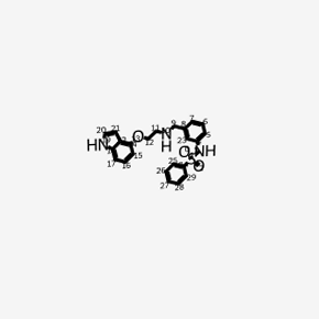 O=S(=O)(Nc1cccc(CNCCOc2cccc3[nH]ccc23)c1)c1ccccc1